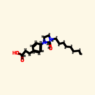 CCCCCCCCN1CCN(c2ccc(CCC(=O)O)cc2)C1=O